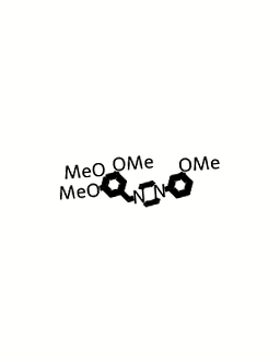 COc1cccc(N2CCN(Cc3cc(OC)c(OC)c(OC)c3)CC2)c1